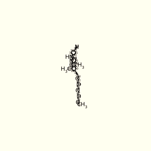 COCCOCCOCCOCCOCC#Cc1cc(C)c(Oc2ccnc(Nc3ccc(C#N)cc3)n2)c(C)c1